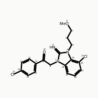 COCCCn1c(=N)n(CC(=O)c2ccc(Cl)cc2)c2cccc(Cl)c21